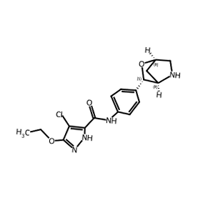 CCOc1n[nH]c(C(=O)Nc2ccc([C@@H]3O[C@H]4CN[C@@H]3C4)cc2)c1Cl